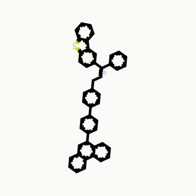 C(/Cc1ccc(-c2ccc(-c3cc4ccccc4c4ccccc34)cc2)cc1)=C(\c1ccccc1)c1ccc2sc3ccccc3c2c1